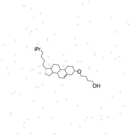 CC(C)CCC[C@@H](C)[C@H]1CCC2C3CC=C4CC(OCCCCO)CC[C@]4(C)C3CC[C@@]21C